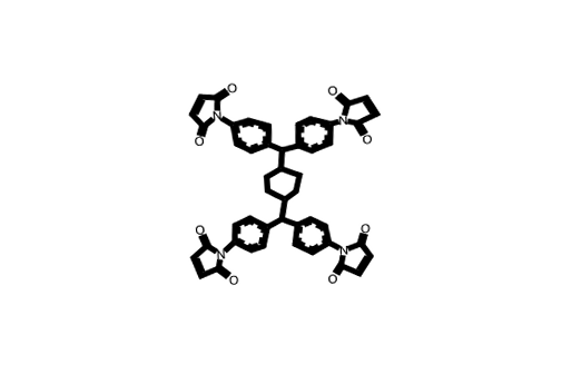 O=C1C=CC(=O)N1c1ccc(C(c2ccc(N3C(=O)C=CC3=O)cc2)C2CCC(C(c3ccc(N4C(=O)C=CC4=O)cc3)c3ccc(N4C(=O)C=CC4=O)cc3)CC2)cc1